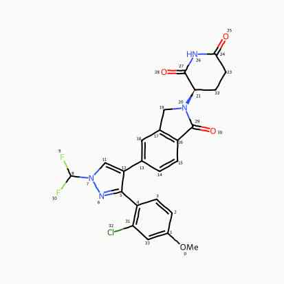 COc1ccc(-c2nn(C(F)F)cc2-c2ccc3c(c2)CN([C@@H]2CCC(=O)NC2=O)C3=O)c(Cl)c1